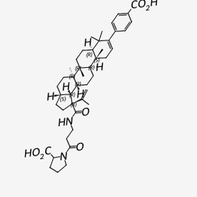 C=C(C)[C@@]1(C(=O)NCCC(=O)N2CCCC2C(=O)O)CC[C@@H]2CC[C@]3(C)[C@H](CC[C@@H]4[C@@]5(C)CC=C(c6ccc(C(=O)O)cc6)C(C)(C)[C@@H]5CC[C@]43C)[C@@H]21